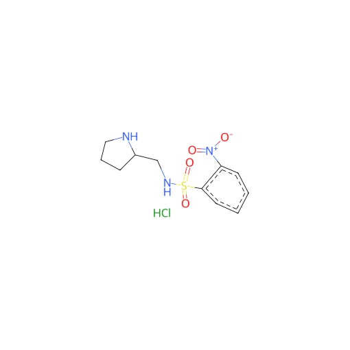 Cl.O=[N+]([O-])c1ccccc1S(=O)(=O)NCC1CCCN1